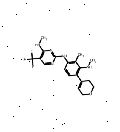 CNc1nc(Nc2ccc(C3=CCOCC3)c(NC)c2C)ncc1C(F)(F)F